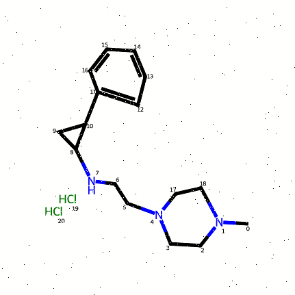 CN1CCN(CCNC2CC2c2ccccc2)CC1.Cl.Cl